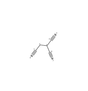 N#CCC(C#N)C#N